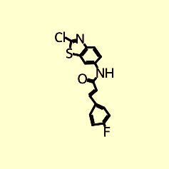 O=C(C=Cc1ccc(F)cc1)Nc1ccc2nc(Cl)sc2c1